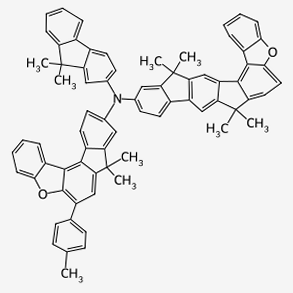 Cc1ccc(-c2cc3c(c4c2oc2ccccc24)-c2ccc(N(c4ccc5c(c4)C(C)(C)c4ccccc4-5)c4ccc5c(c4)C(C)(C)c4cc6c(cc4-5)C(C)(C)c4ccc5oc7ccccc7c5c4-6)cc2C3(C)C)cc1